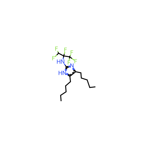 CCCCCc1nc(NC(F)(C(F)F)C(F)(F)F)[nH]c1CCCCC